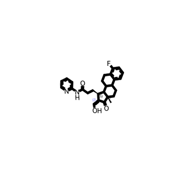 C[C@]12CCC3c4cccc(F)c4CCC3C1[C@H](CCC(=O)Nc1ccccn1)/C(=C/O)C2=O